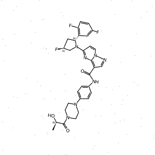 C[C@@H](O)C(=O)N1CCN(c2ccc(NC(=O)c3cnn4ccc(N5C[C@@H](F)C[C@@H]5c5cc(F)ccc5F)nc34)cc2)CC1